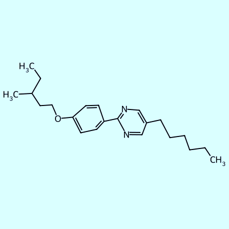 CCCCCCc1cnc(-c2ccc(OCCC(C)CC)cc2)nc1